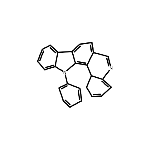 C1=CCC2C(=C1)N=Cc1ccc3c4ccccc4n(-c4ccccc4)c3c12